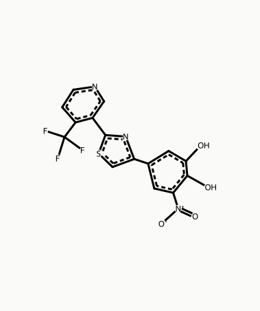 O=[N+]([O-])c1cc(-c2csc(-c3cnccc3C(F)(F)F)n2)cc(O)c1O